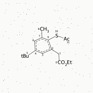 CCOC(=O)Cc1cc(C(C)(C)C)cc(C)c1SC(C)=O